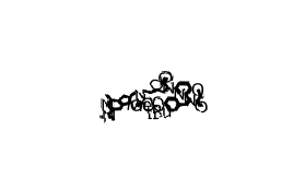 COc1ccc(CN2C(=O)COc3ccc(N4CC(CCN(CC5Cc6cc(N(C)C)nc(C)c6C5)C(=O)OC(C)(C)C)OC4=O)nc32)cc1